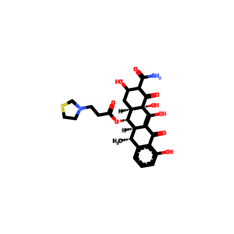 C[C@H]1c2cccc(O)c2C(=O)C2=C(O)[C@]3(O)C(=O)C(C(N)=O)C(O)C[C@@H]3[C@@H](OC(=O)CCN3CCSC3)[C@@H]21